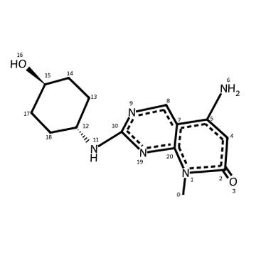 Cn1c(=O)cc(N)c2cnc(N[C@H]3CC[C@H](O)CC3)nc21